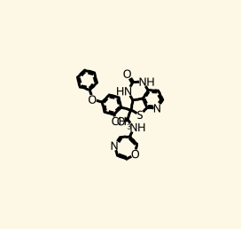 Cc1cc(Oc2ccccc2)ccc1C1(C(=O)NC2=COC=CN=C2)Sc2nccc3c2C1NC(=O)N3